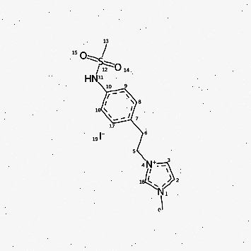 Cn1cc[n+](CCc2ccc(NS(C)(=O)=O)cc2)c1.[I-]